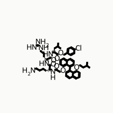 CC(C)CCOc1ccc2ccccc2c1-c1c(OCC(=O)N[C@H](CCCCN)C(=O)N[C@H](CCCNC(=N)N)C(=O)N[C@@H](CC(C)C)C(=O)OCc2ccc(Cl)cc2)ccc2ccccc12